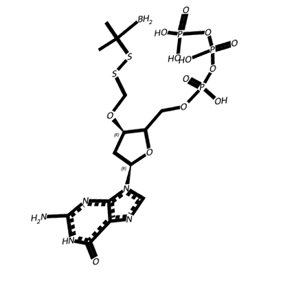 BC(C)(C)SSCO[C@@H]1C[C@H](n2cnc3c(=O)[nH]c(N)nc32)OC1COP(=O)(O)OP(=O)(O)OP(=O)(O)O